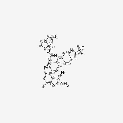 N#Cc1c(N)sc2c(F)ccc(-c3ncc4c(N5CCn6cc(C(F)(F)F)nc6C5)nc(OC[C@]56CCCN5C[C@@H](F)C6)nc4c3F)c12